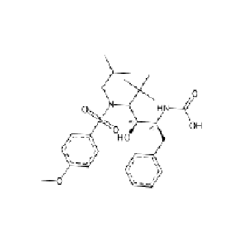 COc1ccc(S(=O)(=O)N(CC(C)C)C([C@H](O)[C@H](Cc2ccccc2)NC(=O)O)C(C)(C)C)cc1